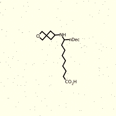 CCCCCCCCCCC(CCCCCCCC(=O)O)NC1CC2(COC2)C1